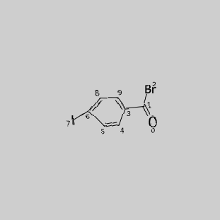 O=C(Br)c1ccc(I)cc1